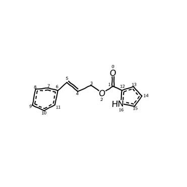 O=C(OC/C=C/c1ccccc1)c1ccc[nH]1